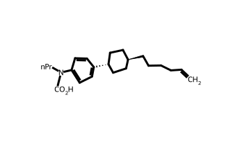 C=CCCCC[C@H]1CC[C@H](c2ccc(N(CCC)C(=O)O)cc2)CC1